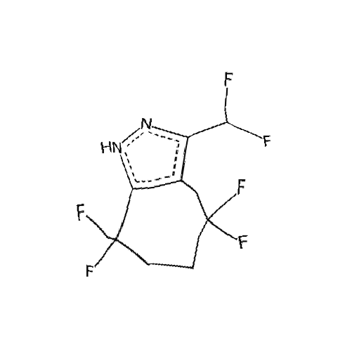 FC(F)c1n[nH]c2c1C(F)(F)CCC2(F)F